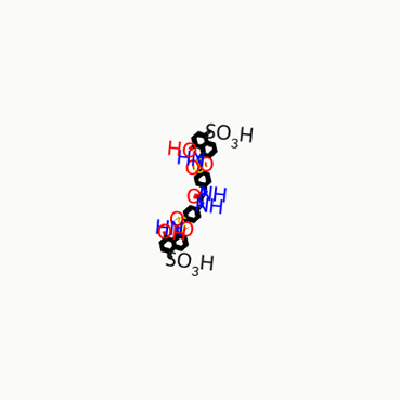 O=C(Nc1ccc(S(=O)(=O)Nc2cccc3c(S(=O)(=O)O)ccc(O)c23)cc1)Nc1ccc(S(=O)(=O)Nc2cccc3c(S(=O)(=O)O)ccc(O)c23)cc1